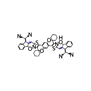 N#CC(C#N)=C1/C(=C/c2nc3c(s2)-c2cc4c(cc2OC32CCCCC2)-c2sc(/C=C3/C(=C(C#N)C#N)c5ccccc5C3O)nc2C2(CCCCC2)O4)C(=O)c2ccccc21